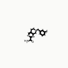 NC(=O)c1n[c]c2c(n1)CN(Cc1cccc(F)c1)CC2